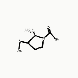 CC(=O)SC1CCN(C(=O)C(C)C)[C@@H]1C(=O)O